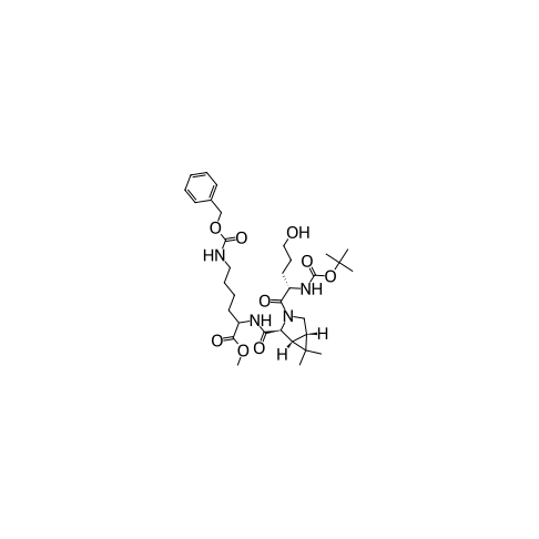 COC(=O)C(CCCCNC(=O)OCc1ccccc1)NC(=O)[C@@H]1[C@@H]2[C@H](CN1C(=O)[C@H](CCCO)NC(=O)OC(C)(C)C)C2(C)C